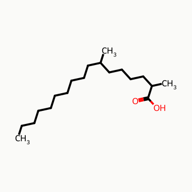 CCCCCCCCCCC(C)CCCCC(C)C(=O)O